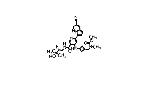 COC(=O)N(C)CC1CC(Nc2cc(-c3ccc4cc(C#N)cnn34)ncc2C(=O)NC[C@@H](F)C(C)(C)O)C1